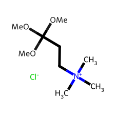 COC(CC[N+](C)(C)C)(OC)OC.[Cl-]